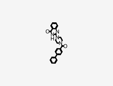 O=C(c1ccc(-c2ccccc2)cc1)N1CCN(c2nc3ccccc3c(=O)[nH]2)CC1